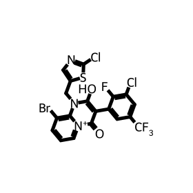 O=c1c(-c2cc(C(F)(F)F)cc(Cl)c2F)c(O)n(Cc2cnc(Cl)s2)c2c(Br)ccc[n+]12